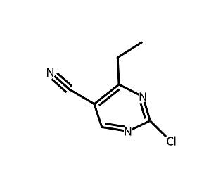 CCc1nc(Cl)ncc1C#N